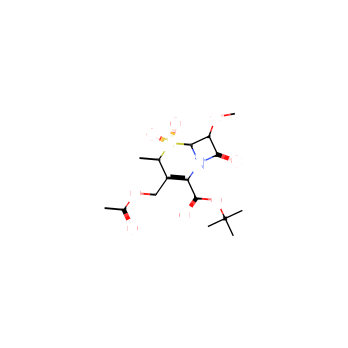 COC1C(=O)N2C(C(=O)OC(C)(C)C)=C(COC(C)=O)C(C)S(=O)(=O)C12